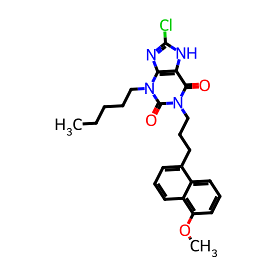 CCCCCn1c(=O)n(CCCc2cccc3c(OC)cccc23)c(=O)c2[nH]c(Cl)nc21